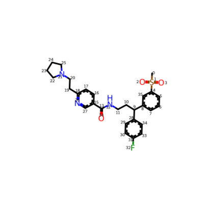 CS(=O)(=O)c1cccc(C(CCNC(=O)c2ccc(CCN3CCCC3)nc2)c2ccc(F)cc2)c1